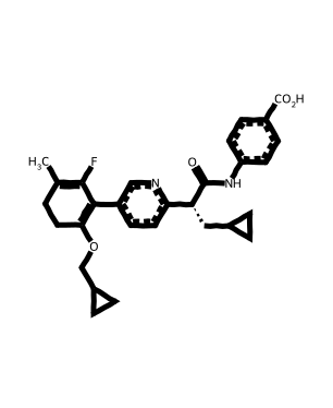 CC1=C(F)C(c2ccc([C@@H](CC3CC3)C(=O)Nc3ccc(C(=O)O)cc3)nc2)=C(OCC2CC2)CC1